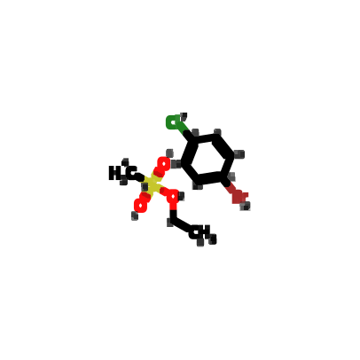 CCOS(C)(=O)=O.Clc1ccc(Br)cc1